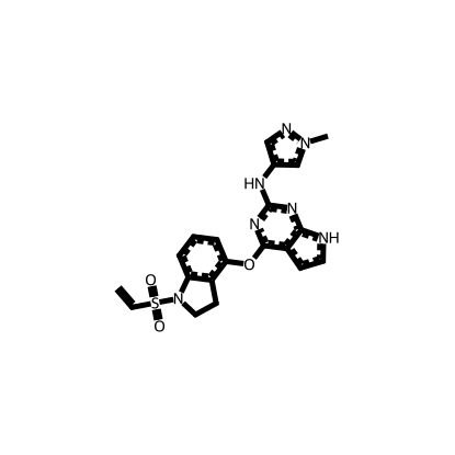 C=CS(=O)(=O)N1CCc2c(Oc3nc(Nc4cnn(C)c4)nc4[nH]ccc34)cccc21